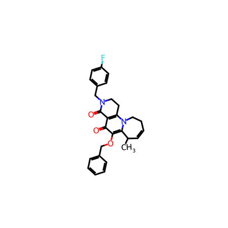 CC1C=CCCn2c3c(c(=O)c(OCc4ccccc4)c21)C(=O)N(Cc1ccc(F)cc1)CC3